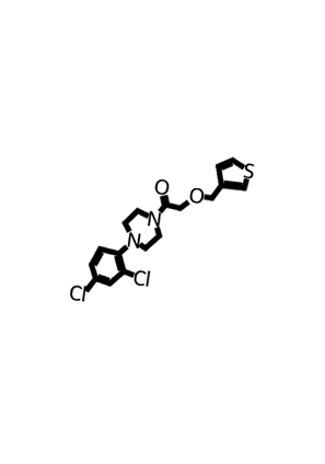 O=C(COCc1ccsc1)N1CCN(c2ccc(Cl)cc2Cl)CC1